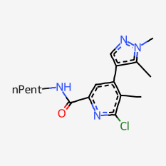 CCCCCNC(=O)c1cc(-c2cnn(C)c2C)c(C)c(Cl)n1